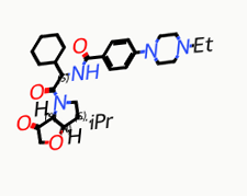 CCN1CCN(c2ccc(C(=O)N[C@H](C(=O)N3C[C@H](C(C)C)[C@H]4OCC(=O)[C@H]43)C3CCCCC3)cc2)CC1